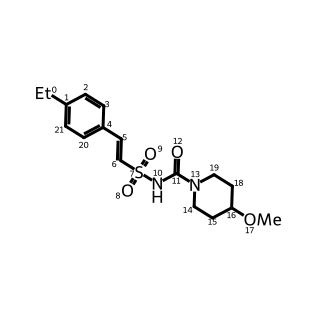 CCc1ccc(C=CS(=O)(=O)NC(=O)N2CCC(OC)CC2)cc1